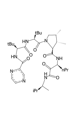 CCC[C@H](NC(=O)[C@@H]1[C@@H](C)[C@@H](C)CN1C(=O)[C@@H](NC(=O)[C@@H](NC(=O)c1cnccn1)C(C)(C)C)C(C)(C)C)C(=O)C(=O)N[C@@H](C)C(C)C